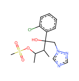 CC(OS(C)(=O)=O)C(C)C(O)(Cn1cncn1)c1ccccc1Cl